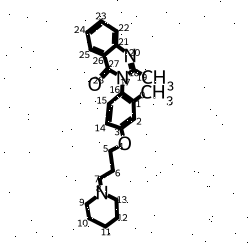 Cc1cc(OCCCN2CCCCC2)ccc1-n1c(C)nc2ccccc2c1=O